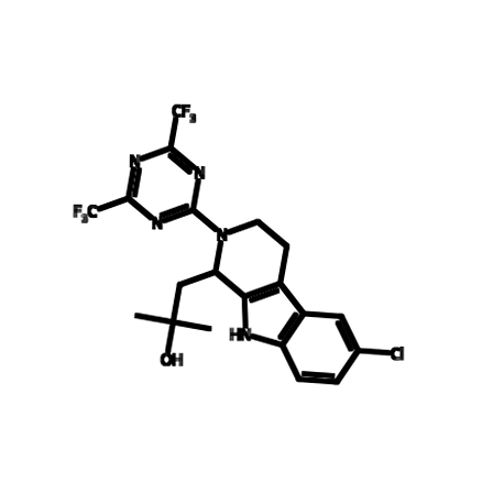 CC(C)(O)CC1c2[nH]c3ccc(Cl)cc3c2CCN1c1nc(C(F)(F)F)nc(C(F)(F)F)n1